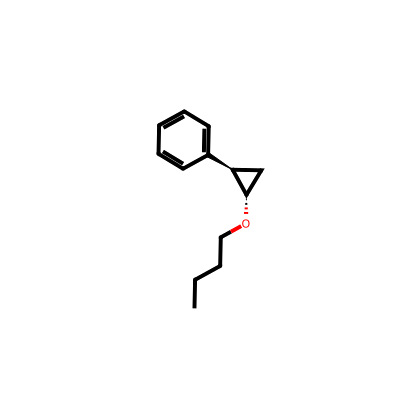 CCCCO[C@H]1C[C@@H]1c1ccccc1